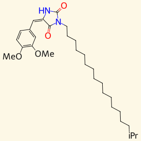 COc1ccc(C=C2NC(=O)N(CCCCCCCCCCCCCCCC(C)C)C2=O)cc1OC